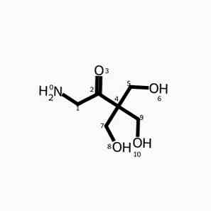 NCC(=O)C(CO)(CO)CO